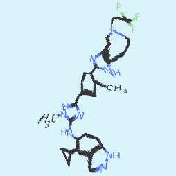 Cc1cc(-c2nc(Nc3ccc4[nH]ncc4c3C3CC3)n(C)n2)ccc1-c1nc2c([nH]1)CCN(CC(F)(F)F)C2